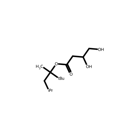 CC(C)CC(C)(OC(=O)CC(O)CO)C(C)(C)C